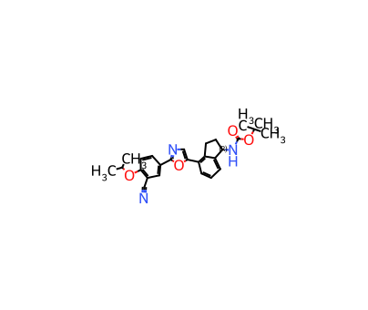 CC(C)Oc1ccc(-c2ncc(-c3cccc4c3CC[C@H]4NC(=O)OC(C)(C)C)o2)cc1C#N